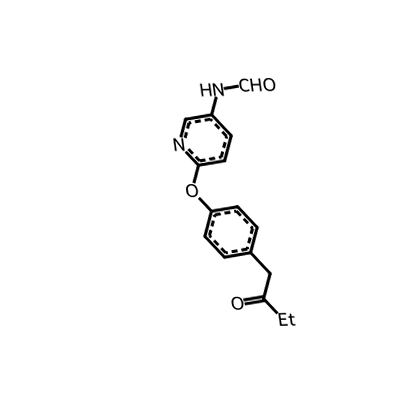 CCC(=O)Cc1ccc(Oc2ccc(NC=O)cn2)cc1